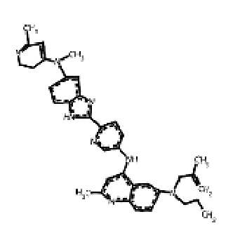 C=C(C)CN(CCC)c1ccc2nc(C)cc(Nc3ccc(-c4nc5cc(N(C)C6=CC(C)=NCC6)ccc5[nH]4)nc3)c2c1